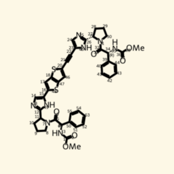 COC(=O)N[C@@H](C(=O)N1CCCC1c1ncc(-c2cc3sc(C#Cc4cnc([C@@H]5CCCN5C(=O)[C@H](NC(=O)OC)c5ccccc5)[nH]4)cc3s2)[nH]1)c1ccccc1